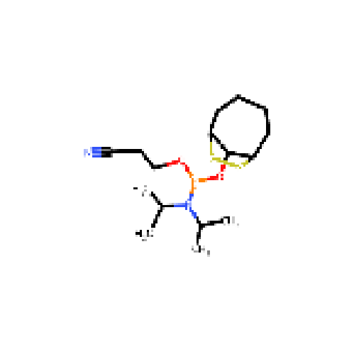 CC(C)N(C(C)C)P(OCCC#N)OC1C2CCCCC1SS2